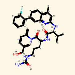 C=C(/C=C\C(=C)NC(=O)[C@H](CCCNC(N)=O)NC(=O)[C@@H](Nc1cc(C)c2ccc(-c3ccccc3F)cc2n1)C(C)C)CO